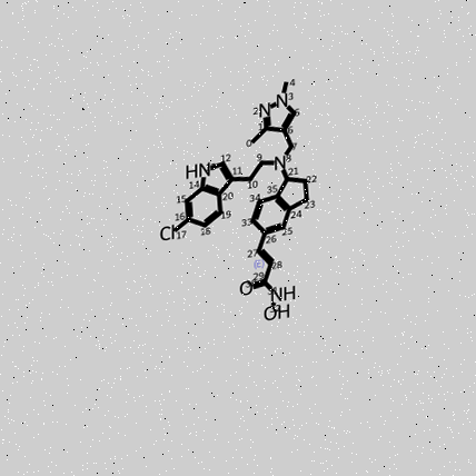 Cc1nn(C)cc1CN(CCc1c[nH]c2cc(Cl)ccc12)C1CCc2cc(/C=C/C(=O)NO)ccc21